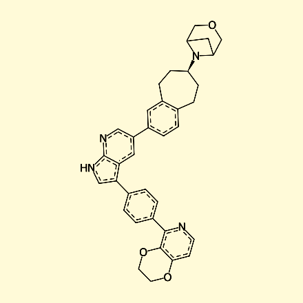 c1cc2c(c(-c3ccc(-c4c[nH]c5ncc(-c6ccc7c(c6)CC[C@@H](N6C8COCC6C8)CC7)cc45)cc3)n1)OCCO2